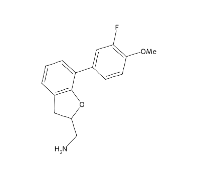 COc1ccc(-c2cccc3c2OC(CN)C3)cc1F